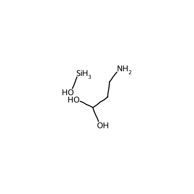 NCCC(O)O.O[SiH3]